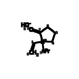 C=C[N+]1(CCC)CCCC1=O.[OH-]